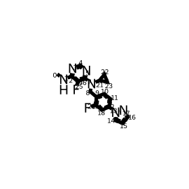 CNc1ncnc(N(Cc2ccc(-n3cccn3)cc2F)C2CC2)c1F